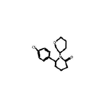 O=C1CCCC(c2ccc(Cl)cc2)N1C1CCCOC1